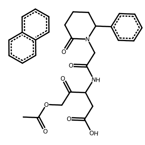 CC(=O)OCC(=O)C(CC(=O)O)NC(=O)CN1C(=O)CCCC1c1ccccc1.c1ccc2ccccc2c1